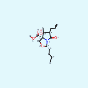 C=CCC1C(=O)N2[C@H](CCCC)OC[C@@]2(C(=O)OC)C1(C)O